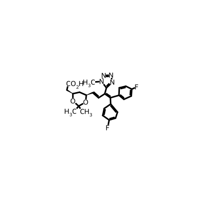 Cn1nnnc1C(/C=C/[C@@H]1C[C@H](CC(=O)O)OC(C)(C)O1)=C(c1ccc(F)cc1)c1ccc(F)cc1